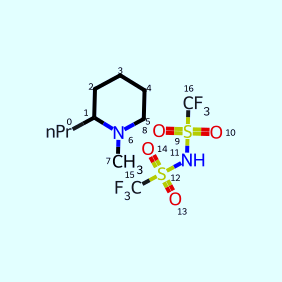 CCCC1CCCCN1C.O=S(=O)(NS(=O)(=O)C(F)(F)F)C(F)(F)F